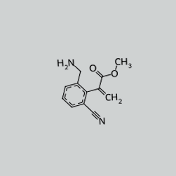 C=C(C(=O)OC)c1c(C#N)cccc1CN